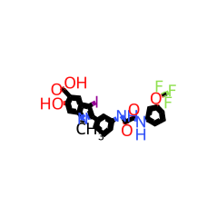 Cn1c(-c2cccc(NC(=O)C(=O)Nc3cccc(OC(F)(F)F)c3)c2)c(I)c2cc(C(=O)O)c(O)cc21